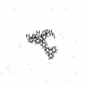 CC(C)(C)c1ccc(N(c2ccc(-c3ccc4c5ccccc5c5ccccc5c4c3)cc2)c2ccc3c(c2)C(C)(C)c2ccccc2-3)cc1